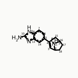 CN1C2C=C(c3ccc4[nH]c(N)nc4c3)CC1CC2